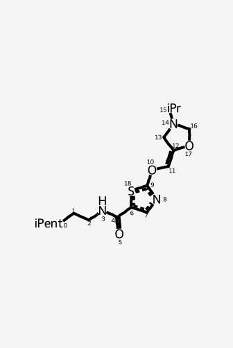 CCCC(C)CCNC(=O)c1cnc(OC=C2CN(C(C)C)CO2)s1